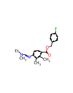 CCN(C)/C=N/c1ccc(C(=O)OCc2ccc(F)cc2)c(C)c1C